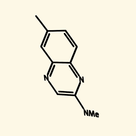 CNc1cnc2cc(C)ccc2n1